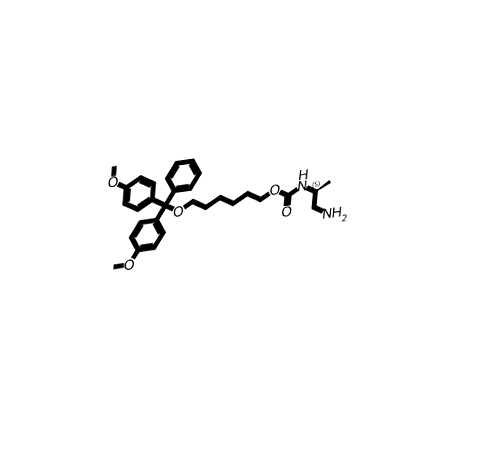 COc1ccc(C(OCCCCCCOC(=O)N[C@@H](C)CN)(c2ccccc2)c2ccc(OC)cc2)cc1